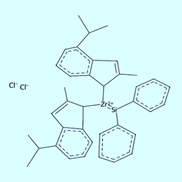 CC1=Cc2c(C(C)C)cccc2[CH]1[Zr+2]([CH]1C(C)=Cc2c(C(C)C)cccc21)=[Si](c1ccccc1)c1ccccc1.[Cl-].[Cl-]